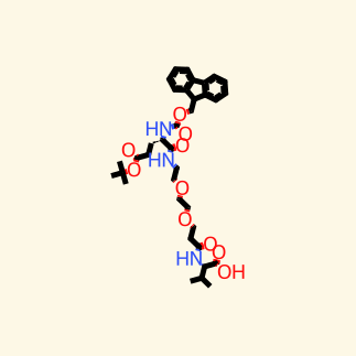 CC(C)[C@H](NC(=O)CCOCCOCCNC(=O)[C@H](CCC(=O)OC(C)(C)C)NC(=O)OCC1c2ccccc2-c2ccccc21)C(=O)O